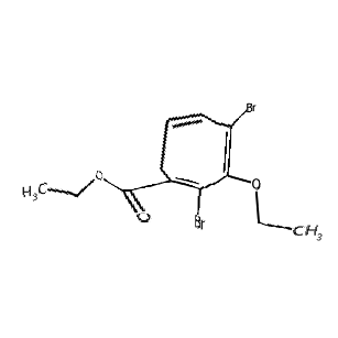 CCOC(=O)c1ccc(Br)c(OCC)c1Br